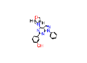 Oc1cccc(-c2nc(N3C[C@@H]4C[C@H]3CO4)c3cnn(-c4ccccc4)c3n2)c1